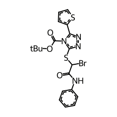 CC(C)(C)OC(=O)n1c(SC(Br)C(=O)Nc2ccccc2)nnc1-c1cccs1